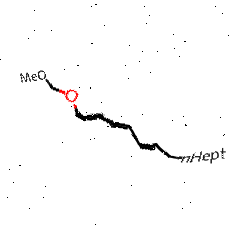 CCCCCCCCC=CC=CC=COCOC